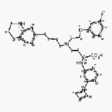 O=C(O)[C@H](CCN(CCCCc1ccc2c(n1)NCCC2)CCOc1cncc(F)c1)Nc1cc([N+]2=CC=C2)ncn1